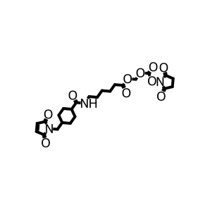 O=C(CCCCCNC(=O)C1CCC(CN2C(=O)C=CC2=O)CC1)OCOC(=O)ON1C(=O)CCC1=O